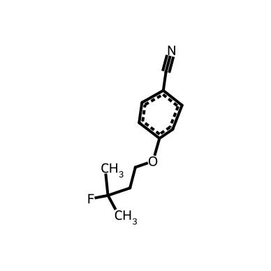 CC(C)(F)CCOc1ccc(C#N)cc1